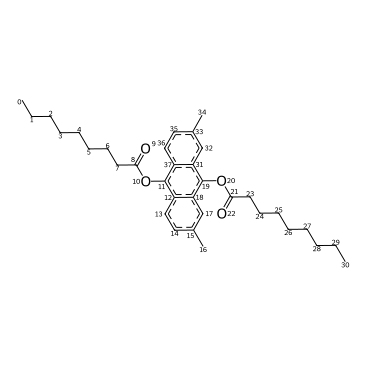 CCCCCCCCC(=O)Oc1c2ccc(C)cc2c(OC(=O)CCCCCCCC)c2cc(C)ccc12